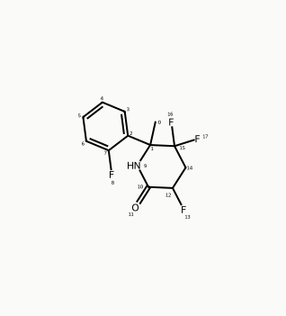 CC1(c2ccccc2F)NC(=O)C(F)CC1(F)F